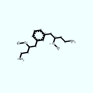 CCOC(CCN)Cc1cccc(CC(CCN)OCC)c1